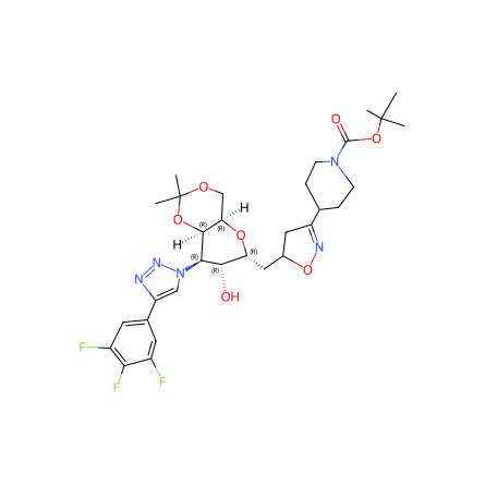 CC(C)(C)OC(=O)N1CCC(C2=NOC(C[C@H]3O[C@@H]4COC(C)(C)O[C@@H]4[C@H](n4cc(-c5cc(F)c(F)c(F)c5)nn4)[C@H]3O)C2)CC1